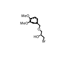 COc1ccc(COC[C@H](O)CBr)cc1OC